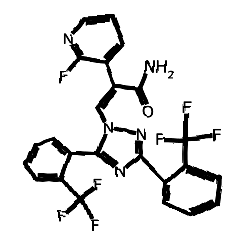 NC(=O)C(=Cn1nc(-c2ccccc2C(F)(F)F)nc1-c1ccccc1C(F)(F)F)c1cccnc1F